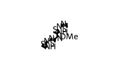 CO/N=C(/c1csc(/N=c2\[nH]ccs2)n1)c1cs/c(=N/c2nccs2)[nH]1